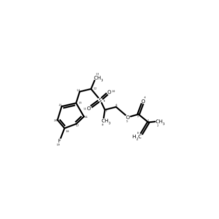 C=C(C)C(=O)OCC(C)S(=O)(=O)C(C)Cc1ccc(F)cc1